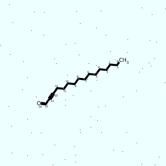 CCCCCCCCCCCCCC#C[C]=O